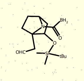 BC(=O)N1C2CCC1(CC=O)C(O[Si](C)(C)C(C)(C)C)C2